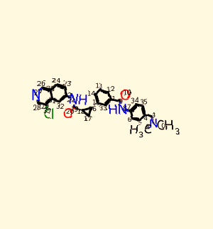 CN(C)Cc1ccc(NC(=O)c2cccc([C@@H]3C[C@H]3C(=O)Nc3ccc4cncc(Cl)c4c3)c2)cc1